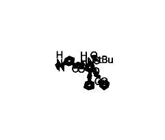 CC(C)(C)OC(=O)Nc1cc(OCCOC2CCCCO2)c(C#Cc2ccccc2)cc1NC(=O)CC(=O)c1cccc(-c2ncc[nH]2)c1